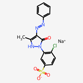 Cc1[nH]n(-c2cc(S(=O)(=O)[O-])ccc2Cl)c(=O)c1N=Nc1ccccc1.[Na+]